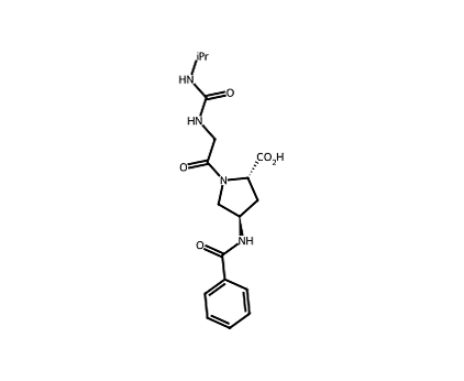 CC(C)NC(=O)NCC(=O)N1C[C@H](NC(=O)c2ccccc2)C[C@H]1C(=O)O